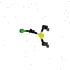 C[SH](C)[Au][Cl]